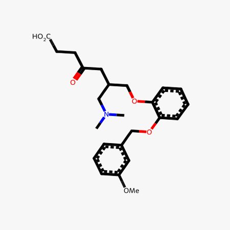 COc1cccc(COc2ccccc2OCC(CC(=O)CCC(=O)O)CN(C)C)c1